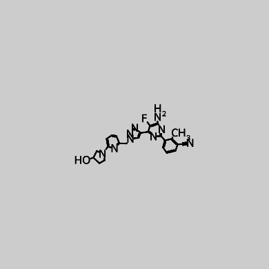 Cc1c(C#N)cccc1-c1nc(N)c(F)c(-c2cn(Cc3cccc(N4CCC(O)C4)n3)nn2)n1